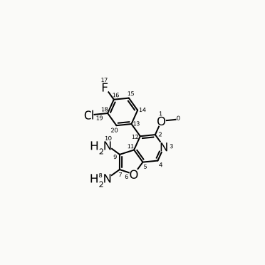 COc1ncc2oc(N)c(N)c2c1-c1ccc(F)c(Cl)c1